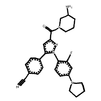 N#Cc1ccc(-c2cc(C(=O)N3CCCC(N)C3)nn2-c2ccc(N3CCCC3)cc2F)cc1